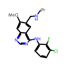 COc1cc2ncnc(Nc3cccc(Cl)c3F)c2cc1CNC(C)C